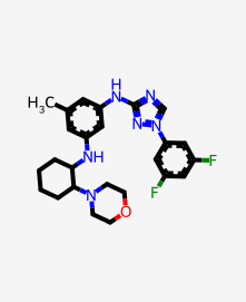 Cc1cc(Nc2ncn(-c3cc(F)cc(F)c3)n2)cc(NC2CCCCC2N2CCOCC2)c1